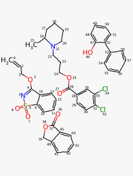 C=CCOC1=NS(=O)(=O)c2ccccc21.CC1CCCCN1CCCOC(=O)c1ccc(Cl)c(Cl)c1.O=C1OCc2ccccc21.Oc1ccccc1-c1ccccc1